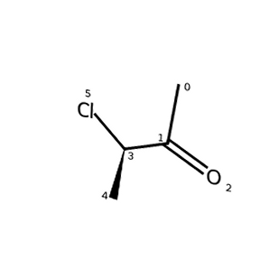 CC(=O)[C@@H](C)Cl